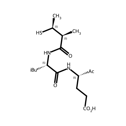 CCC(C)[C@H](NC(=O)[C@H](C)[C@H](C)S)C(=O)N[C@@H](CCC(=O)O)C(C)=O